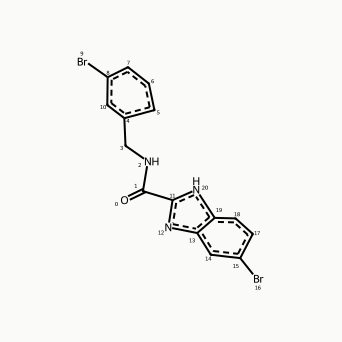 O=C(NCc1cccc(Br)c1)c1nc2cc(Br)ccc2[nH]1